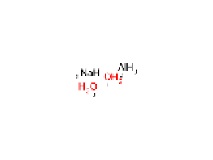 O.O.[AlH3].[NaH]